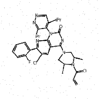 C=CC(=O)N1C(C)CN(c2nc(=O)n(-c3c(C(C)C)cnnc3C(C)C)c3nc(-c4ccccc4F)c(Cl)cc23)CC1C